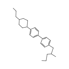 CCCC(C)Cc1ccc(-c2ccc(C3CCC(CCC)CC3)cc2)cc1